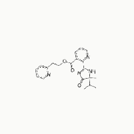 CC(C)C1(C)NC(c2ncccc2C(=O)OCCc2ccccn2)=NC1=O